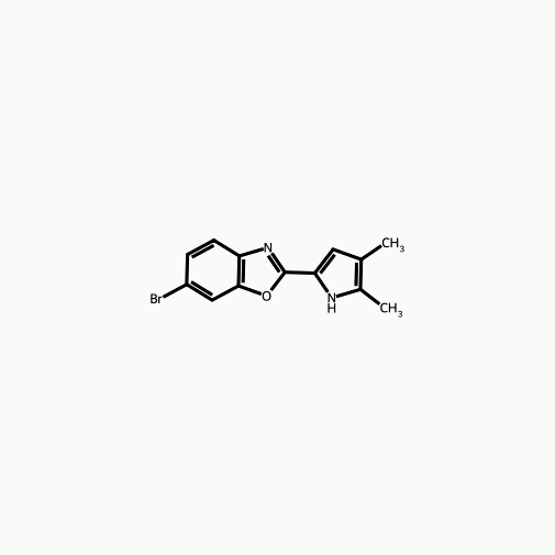 Cc1cc(-c2nc3ccc(Br)cc3o2)[nH]c1C